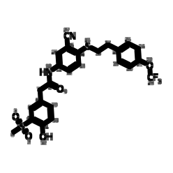 CS(=O)(=O)c1cc(CC(=O)Nc2ccc(SCCc3ccc(OC(F)(F)F)cc3)c(C#N)c2)ccc1O